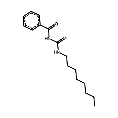 CCCCCCCCNC(=S)NC(=O)c1ccccc1